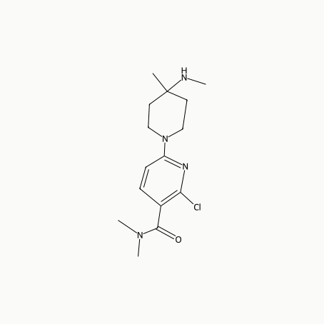 CNC1(C)CCN(c2ccc(C(=O)N(C)C)c(Cl)n2)CC1